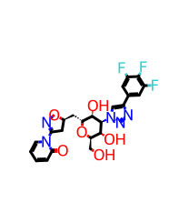 O=c1ccccn1C1=NO[C@@H](C[C@H]2O[C@H](CO)[C@H](O)[C@H](n3cc(-c4cc(F)c(F)c(F)c4)nn3)[C@H]2O)C1